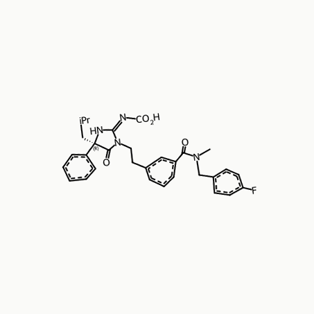 CC(C)C[C@]1(c2ccccc2)NC(=NC(=O)O)N(CCc2cccc(C(=O)N(C)Cc3ccc(F)cc3)c2)C1=O